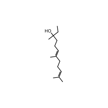 CCC(C)(O)CC/C=C(\C)CCC=C(C)C